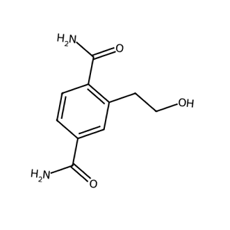 NC(=O)c1ccc(C(N)=O)c(CCO)c1